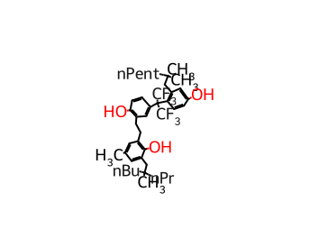 CCCCCC(C)(C)Cc1cc(O)ccc1C(c1ccc(O)c(CCc2cc(C)cc(CC(C)(CCC)CCCC)c2O)c1)(C(F)(F)F)C(F)(F)F